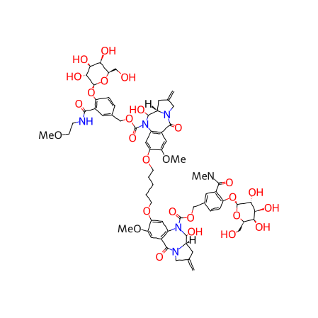 C=C1C[C@H]2C(O)N(C(=O)OCc3ccc(O[C@@H]4O[C@H](CO)[C@H](O)[C@H](O)[C@H]4O)c(C(=O)NC)c3)c3cc(OCCCCCOc4cc5c(cc4OC)C(=O)N4CC(=C)C[C@H]4C(O)N5C(=O)OCc4ccc(O[C@@H]5O[C@H](CO)[C@H](O)[C@H](O)[C@H]5O)c(C(=O)NCCOC)c4)c(OC)cc3C(=O)N2C1